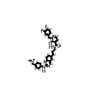 CN(C)Cc1ccc(Nc2ncc3cc(/C=C/CNC(=O)c4ccnn(Cc5ccc(F)c(F)c5)c4=O)ccc3n2)cc1